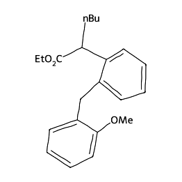 CCCCC(C(=O)OCC)c1ccccc1Cc1ccccc1OC